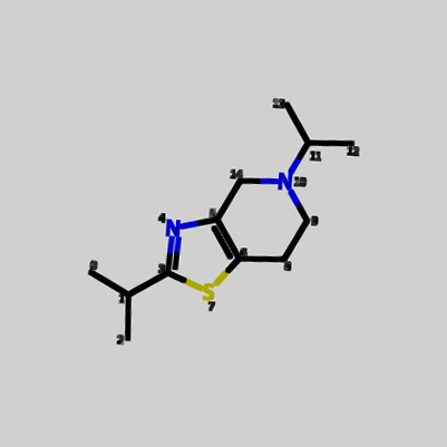 CC(C)c1nc2c(s1)CCN(C(C)C)C2